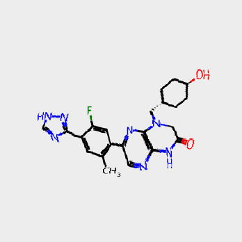 Cc1cc(-c2nc[nH]n2)c(F)cc1-c1cnc2c(n1)N(C[C@H]1CC[C@H](O)CC1)CC(=O)N2